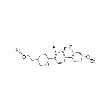 CCOCCC1CCC(c2ccc(-c3ccc(OCC)cc3F)c(F)c2F)OC1